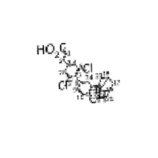 O=C(O)C=Cc1cc(Cl)c(-c2ccc(O)c(C34CC5CC(CC(C5)C3)C4)c2)c(Cl)c1